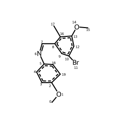 COc1ccc(/N=C\c2cc(Br)cc(OC)c2C)cc1